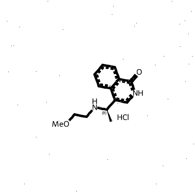 COCCN[C@H](C)c1c[nH]c(=O)c2ccccc12.Cl